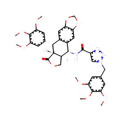 COc1cc(Cn2cc(C(=O)N[C@@H]3c4cc5c(cc4[C@@H](c4cc(OC)c(OC)c(OC)c4)[C@H]4C(=O)OC[C@@H]43)OCO5)nn2)cc(OC)c1OC